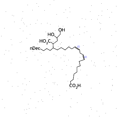 CCCCCCCCCCCCCC(CCCCC/C=C\C/C=C\CCCCCCCC(=O)O)C(CC(O)CO)C(=O)O